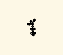 c1ccc([Si](c2ccccc2)(c2ccccc2)c2ccc(-c3c4ccccc4c(-c4ccc(-c5ccc6c(-c7ccc8ccccc8c7)c7ccccc7c(-c7ccc8ccccc8c7)c6c5)cc4)c4ccccc34)cc2)cc1